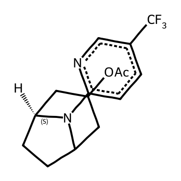 CC(=O)OC1CC2CC[C@@H](C1)N2c1ccc(C(F)(F)F)cn1